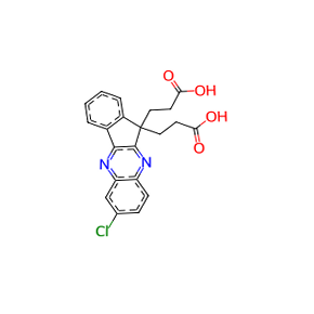 O=C(O)CCC1(CCC(=O)O)c2ccccc2-c2nc3cc(Cl)ccc3nc21